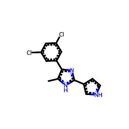 Cc1[nH]c(-c2cc[nH]c2)nc1-c1cc(Cl)cc(Cl)c1